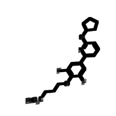 CCOC(=O)CCCOc1c(F)cc(-c2cccc(OC3CCCC3)n2)cc1F